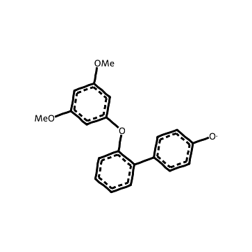 COc1cc(OC)cc(Oc2ccccc2-c2ccc([O])cc2)c1